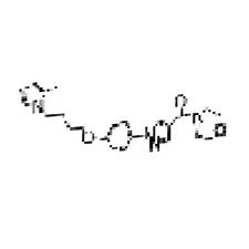 Cc1cccn1CCCCOc1ccc(-n2cc(C(=O)N3CCOCC3)cn2)cc1